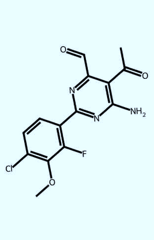 COc1c(Cl)ccc(-c2nc(N)c(C(C)=O)c(C=O)n2)c1F